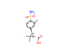 Cc1cc([C@H]2[C@H](C(=O)O)C2(C)C)ccc1S(N)(=O)=O